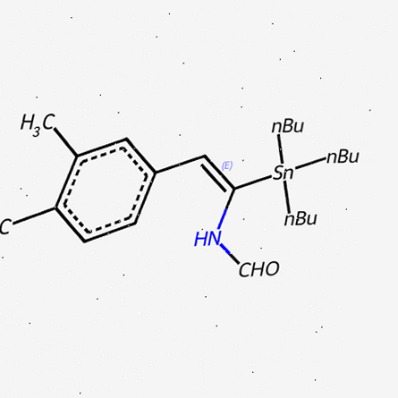 CCC[CH2][Sn]([CH2]CCC)([CH2]CCC)/[C](=C/c1ccc(C)c(C)c1)NC=O